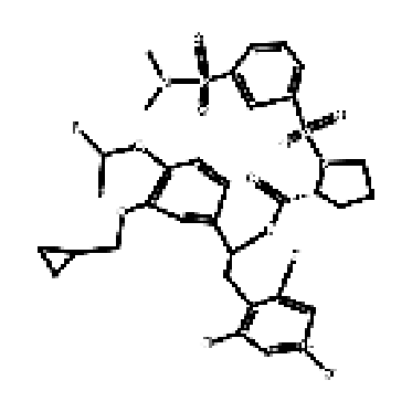 CN(C)S(=O)(=O)c1cccc(S(=O)(=O)N2CCC[C@@H]2C(=O)O[C@@H](Cc2c(Cl)c[n+]([O-])cc2Cl)c2ccc(OC(F)F)c(OCC3CC3)c2)c1